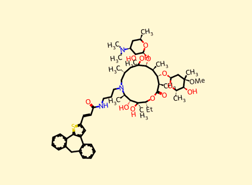 CC[C@H]1OC(=O)[C@H](C)[C@@H](O[C@H]2C[C@@](C)(OC)[C@@H](O)[C@H](C)O2)[C@H](C)[C@@H](O[C@@H]2O[C@H](C)C[C@H](N(C)C)[C@H]2O)[C@](C)(O)C[C@@H](C)CN(CCCNC(=O)/C=C/c2cc3c(s2)-c2ccccc2Cc2ccccc2-3)[C@H](C)[C@@H](O)[C@]1(C)O